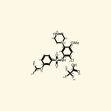 COc1cc(Cl)c(NS(=O)(=O)c2cccc(OC(F)F)c2)cc1N1CCNCC1.O=C(O)C(F)(F)F